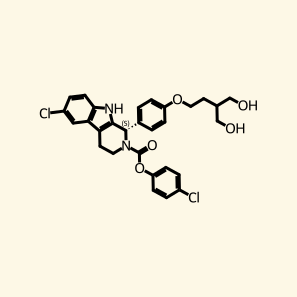 O=C(Oc1ccc(Cl)cc1)N1CCc2c([nH]c3ccc(Cl)cc23)[C@@H]1c1ccc(OCCC(CO)CO)cc1